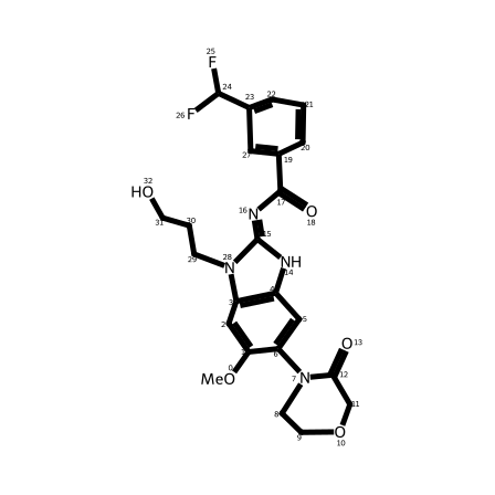 COc1cc2c(cc1N1CCOCC1=O)[nH]/c(=N\C(=O)c1cccc(C(F)F)c1)n2CCCO